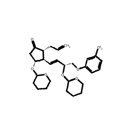 C=CC[C@H]1C(=O)C[C@@H](OC2CCCCO2)[C@@H]1/C=C/[C@H](COc1cccc(C(F)(F)F)c1)OC1CCCCO1